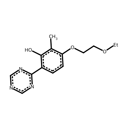 CCOCCOc1ccc(-c2ncncn2)c(O)c1C